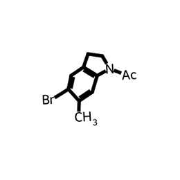 CC(=O)N1CCc2cc(Br)c(C)cc21